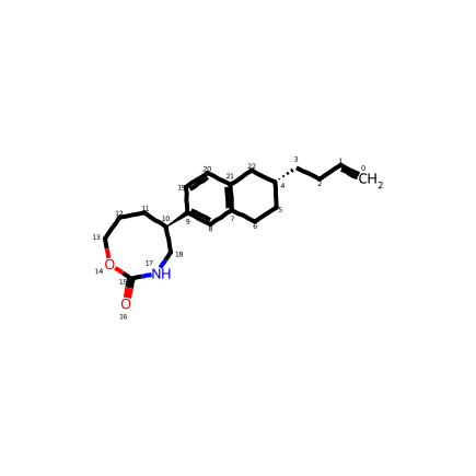 C=CCC[C@@H]1CCc2cc([C@@H]3CCCOC(=O)NC3)ccc2C1